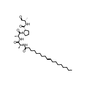 CCCCCCCCC=CCCCCCCCC(=O)N[C@@H](C)C(=O)N[C@@H](C)C(=O)N1CCC[C@H]1C(=O)N[C@@H](C)C=O